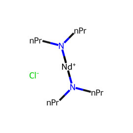 CCC[N](CCC)[Nd+][N](CCC)CCC.[Cl-]